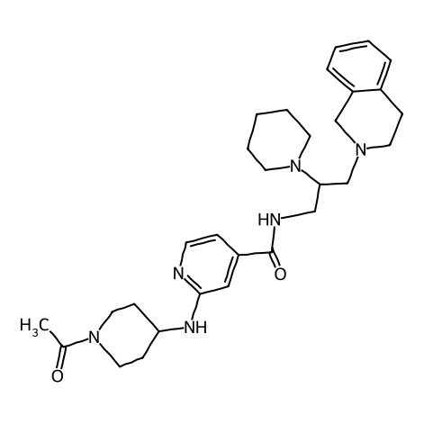 CC(=O)N1CCC(Nc2cc(C(=O)NCC(CN3CCc4ccccc4C3)N3CCCCC3)ccn2)CC1